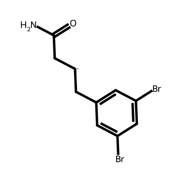 NC(=O)C[CH]Cc1cc(Br)cc(Br)c1